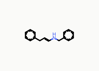 C(=CNCc1ccccc1)Cc1ccccc1